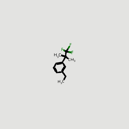 CCc1cccc(C(C)(C)C(F)(F)F)c1